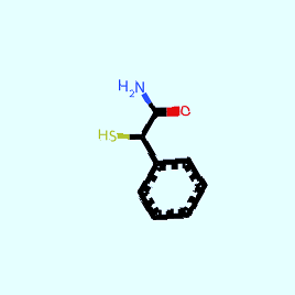 NC(=O)C(S)c1ccccc1